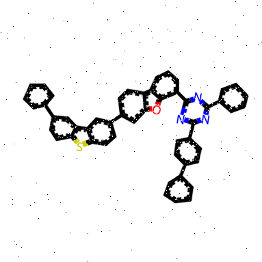 c1ccc(-c2ccc(-c3nc(-c4ccccc4)nc(-c4cccc5c4oc4cc(-c6ccc7sc8ccc(-c9ccccc9)cc8c7c6)ccc45)n3)cc2)cc1